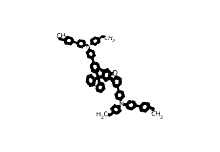 C=Cc1ccc(-c2ccc(N(c3ccc(C=C)cc3)c3ccc(-c4ccc5c(c4)-c4cc6oc7ccc(-c8ccc(N(c9ccc(C=C)cc9)c9ccc(-c%10ccc(C=C)cc%10)cc9)cc8)cc7c6cc4C5(c4ccccc4)c4ccccc4)cc3)cc2)cc1